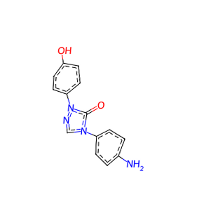 Nc1ccc(-n2cnn(-c3ccc(O)cc3)c2=O)cc1